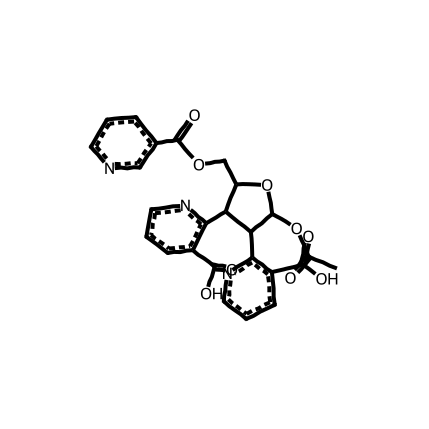 CC(=O)OC1OC(COC(=O)c2cccnc2)C(c2ncccc2C(=O)O)C1c1ncccc1C(=O)O